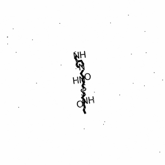 CCCC(=O)NCCSSCCNC(=O)CCN1CCC(CNC)CC1